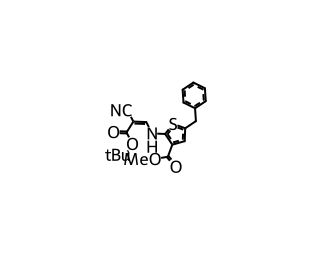 COC(=O)c1cc(Cc2ccccc2)sc1NC=C(C#N)C(=O)OC(C)(C)C